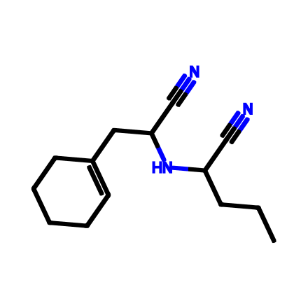 CCCC(C#N)NC(C#N)CC1=CCCCC1